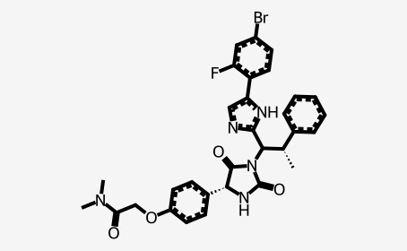 C[C@@H](c1ccccc1)C(c1ncc(-c2ccc(Br)cc2F)[nH]1)N1C(=O)N[C@H](c2ccc(OCC(=O)N(C)C)cc2)C1=O